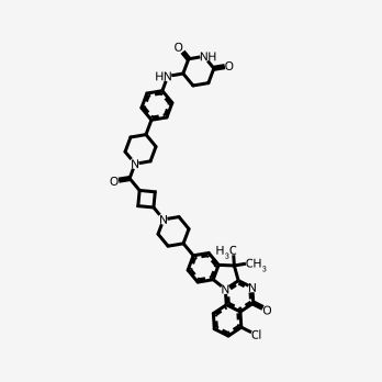 CC1(C)c2cc(C3CCN(C4CC(C(=O)N5CCC(c6ccc(NC7CCC(=O)NC7=O)cc6)CC5)C4)CC3)ccc2-n2c1nc(=O)c1c(Cl)cccc12